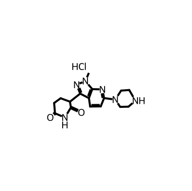 Cl.Cn1nc(C2CCC(=O)NC2=O)c2ccc(N3CCNCC3)nc21